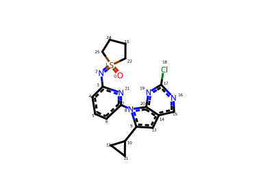 O=S1(=Nc2cccc(-n3c(C4CC4)cc4cnc(Cl)nc43)n2)CCCC1